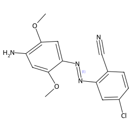 COc1cc(/N=N/c2cc(Cl)ccc2C#N)c(OC)cc1N